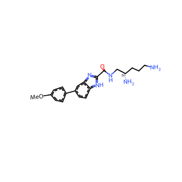 COc1ccc(-c2ccc3[nH]c(C(=O)NC[C@@H](N)CCCN)nc3c2)cc1